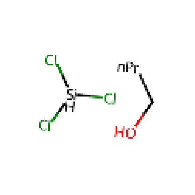 CCCCO.Cl[SiH](Cl)Cl